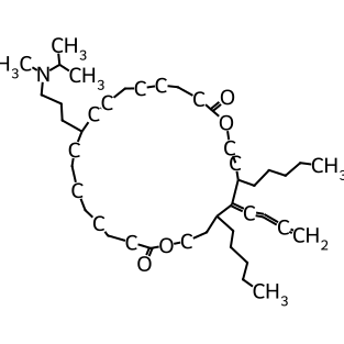 C=C=C=C=C1C(CCCCC)CCOC(=O)CCCCCCCC(CCCN(C)C(C)C)CCCCCCCC(=O)OCCC1CCCCC